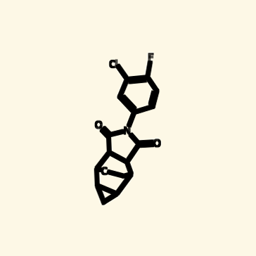 O=C1C2C3CCC(C4CC43)C2C(=O)N1c1ccc(F)c(Cl)c1